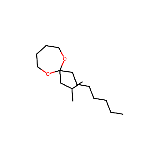 CCCCCCCC1(CC(C)C)OCCCCO1